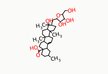 CC1CCC2(C(=O)O)CCC3C(=CCC4C3(C)CCC3C4(C)CCC(CC4OC(CO)C(O)C4O)[C@@]3(C)O)C2C1